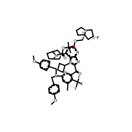 COc1ccc(CN(Cc2ccc(OC)cc2)c2cc(C)c(C(F)(F)F)c(C(=O)c3nc4nc(OC[C@@]56CCCN5C[C@H](F)C6)nc(N5CC6CCC(C5)N6C(=O)OC(C)(C)C)c4n3C3CCC3)n2)cc1